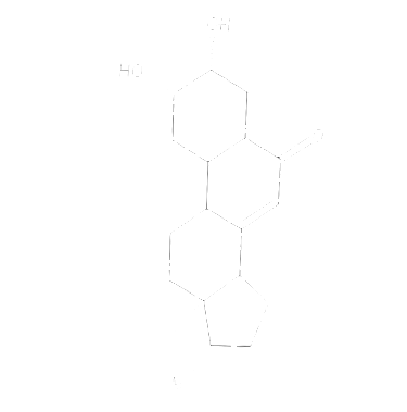 CC(=O)[C@H]1CCC2C3=CC(=O)C4C[C@@H](O)[C@@H](O)C[C@]4(C)C3CC[C@@]21C